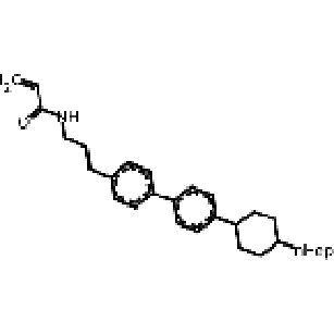 C=CC(=O)NCCCc1ccc(-c2ccc(C3CCC(CCCCCCC)CC3)cc2)cc1